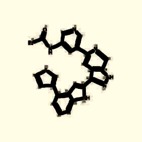 CCC(=O)Nc1cncc(-c2cc3c(-c4cc5c(-c6ccsc6)cccc5[nH]4)n[nH]c3cn2)c1